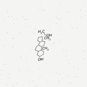 CC(O)[C@H]1CCC2C3CCC4C[C@@H](O)CC[C@]4(C)C3CC[C@@]21C